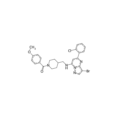 COc1ccc(C(=O)N2CCC(CNc3cc(-c4ccccc4Cl)nc4c(Br)cnn34)CC2)cc1